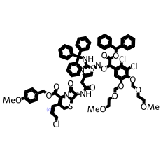 COCCOCOc1cc(C(ON=S2C=C(CC(=O)N[C@@H]3C(=O)N4C(C(=O)OCc5ccc(OC)cc5)=C(/C=C\CCl)CSC34)N=C2NC(c2ccccc2)(c2ccccc2)c2ccccc2)C(=O)OC(c2ccccc2)c2ccccc2)c(Cl)c(Cl)c1OCOCCOC